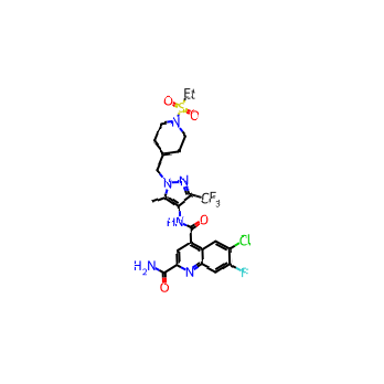 CCS(=O)(=O)N1CCC(Cn2nc(C(F)(F)F)c(NC(=O)c3cc(C(N)=O)nc4cc(F)c(Cl)cc34)c2C)CC1